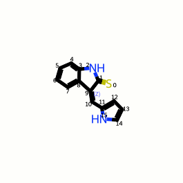 S=C1Nc2ccccc2/C1=C/c1ccc[nH]1